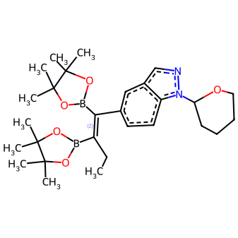 CC/C(B1OC(C)(C)C(C)(C)O1)=C(/B1OC(C)(C)C(C)(C)O1)c1ccc2c(cnn2C2CCCCO2)c1